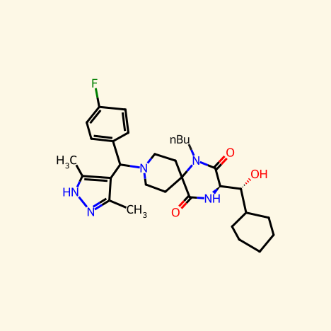 CCCCN1C(=O)[C@@H]([C@H](O)C2CCCCC2)NC(=O)C12CCN(C(c1ccc(F)cc1)c1c(C)n[nH]c1C)CC2